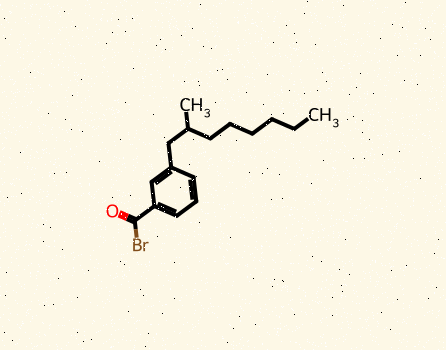 CCCCCCC(C)Cc1cccc(C(=O)Br)c1